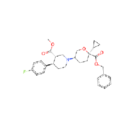 COC(=O)[C@@H]1CN([C@@H]2CC[C@@](C(=O)OCc3ccccc3)(C3CC3)OC2)CC[C@H]1c1ccc(F)cc1